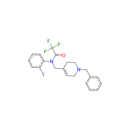 O=C(N(CC1=CCN(Cc2ccccc2)CC1)c1ccccc1I)C(F)(F)F